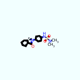 CN(C)S(=O)(=O)Nc1ccc(-n2[se]c3ccccc3c2=O)cc1